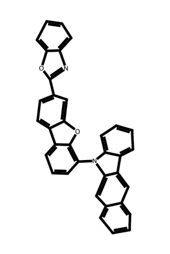 c1ccc2cc3c(cc2c1)c1ccccc1n3-c1cccc2c1oc1cc(-c3nc4ccccc4o3)ccc12